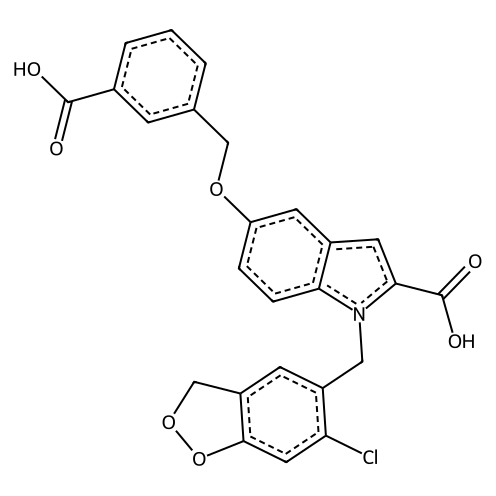 O=C(O)c1cccc(COc2ccc3c(c2)cc(C(=O)O)n3Cc2cc3c(cc2Cl)OOC3)c1